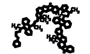 C=CC(CC(=C)c1c2ccccc2c(-c2ccc3c(c2)-c2ccc4c(ccc5sc6ccccc6c54)c2C3(C)C)c2ccccc12)c1cccc(-c2ccc3c(c2)sc2cc4ccc5c(c4cc23)C(C)(C)/C(=C/C=C(\C)c2c3ccccc3c(/C(C)=C/C=C\Cc3ccccc3)c3ccccc23)C5)c1